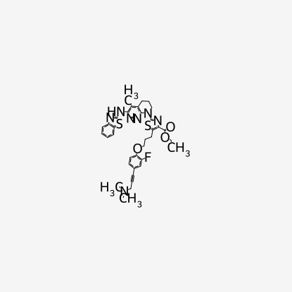 CCOC(=O)c1nc(N2CCCc3c2nnc(Nc2nc4ccccc4s2)c3C)sc1CCCOc1ccc(C#CCN(C)C)cc1F